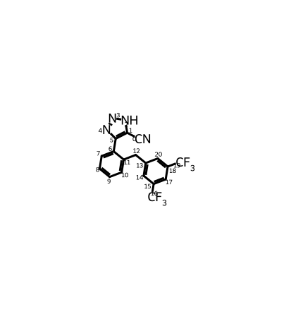 N#Cc1[nH]nnc1-c1ccccc1Cc1cc(C(F)(F)F)cc(C(F)(F)F)c1